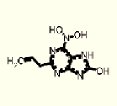 C=CCc1nc(N(O)O)c2[nH]c(O)nc2n1